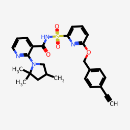 C#Cc1ccc(COc2cccc(S(=O)(=O)NC(=O)c3cccnc3N3CC(C)CC3(C)C)n2)cc1